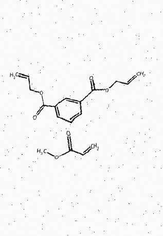 C=CC(=O)OC.C=CCOC(=O)c1cccc(C(=O)OCC=C)c1